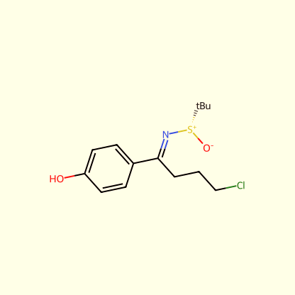 CC(C)(C)[S@+]([O-])N=C(CCCCl)c1ccc(O)cc1